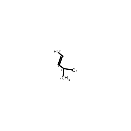 CC/C=C/C(C)[O]